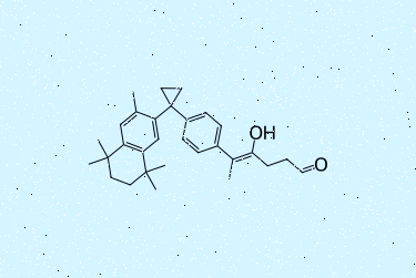 C/C(=C(/O)CCC=O)c1ccc(C2(c3cc4c(cc3C)C(C)(C)CCC4(C)C)CC2)cc1